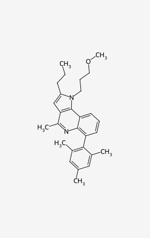 CCCc1cc2c(C)nc3c(-c4c(C)cc(C)cc4C)cccc3c2n1CCCOC